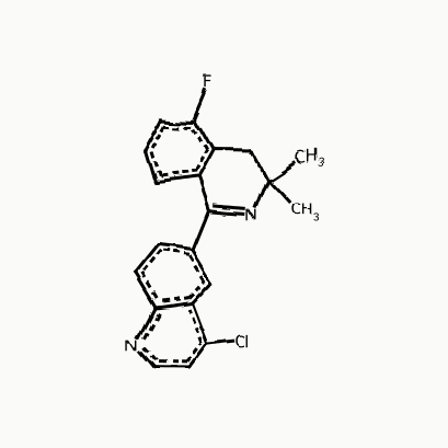 CC1(C)Cc2c(F)cccc2C(c2ccc3nccc(Cl)c3c2)=N1